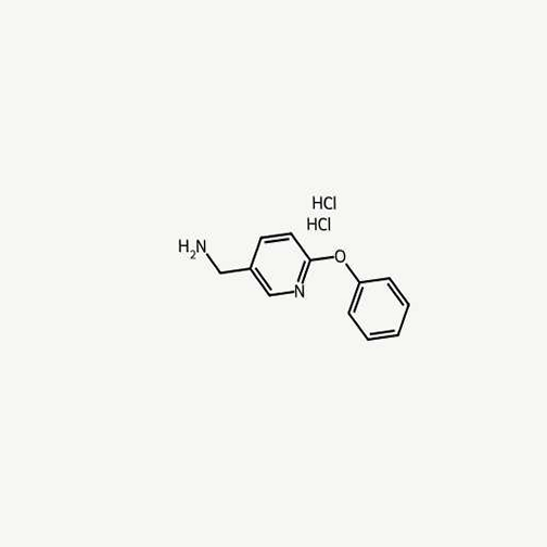 Cl.Cl.NCc1ccc(Oc2ccccc2)nc1